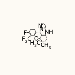 CC1(C)CCC2=C(C1=O)C(c1ccc(F)c(C(F)(F)F)c1)n1nccc1N2